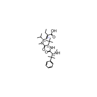 CC/C(=C\[C@H](C(C)C)N(C)C(=O)[C@@H](NC(=O)[C@@H](NC)C(C)(C)c1ccccc1)C(C)(C)C)C(=O)O